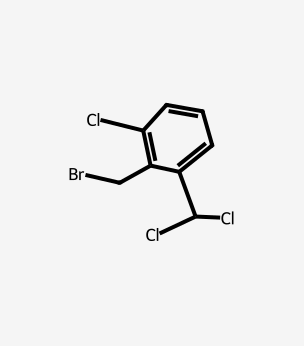 Clc1cccc(C(Cl)Cl)c1CBr